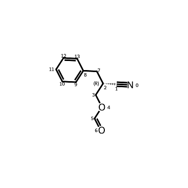 N#C[C@H](COC=O)Cc1ccccc1